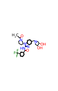 C=CC(=O)N1CCC[C@@H](n2c(NC(=O)c3cccc(C(F)(F)F)c3)nc3cc(CN4C[C@@H](O)[C@H](O)C4)ccc32)C1